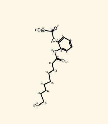 CCCCCCCCCCC(=O)Oc1ccccc1OC(=O)CCCCCCCCC(C)C